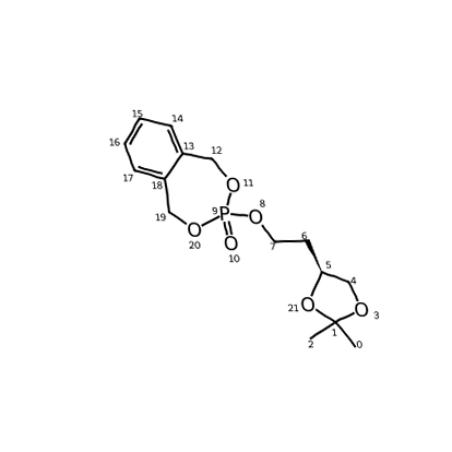 CC1(C)OC[C@H](CCOP2(=O)OCc3ccccc3CO2)O1